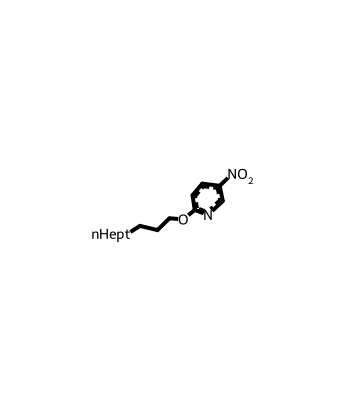 CCCCCCCCCCOc1ccc([N+](=O)[O-])cn1